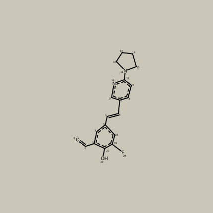 O=Cc1cc(C=Cc2ccc(N3CCCC3)nc2)cc(F)c1O